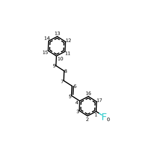 Fc1ccc(C=CCCCc2ccccc2)cc1